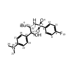 CC[C@H](C)[C@H](NS(=O)(=O)c1ccc(F)cc1)C(O)c1ccc(N(C)C)cc1